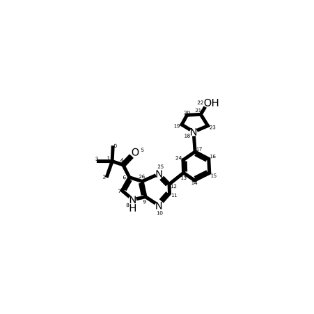 CC(C)(C)C(=O)c1c[nH]c2ncc(-c3cccc(N4CCC(O)C4)c3)nc12